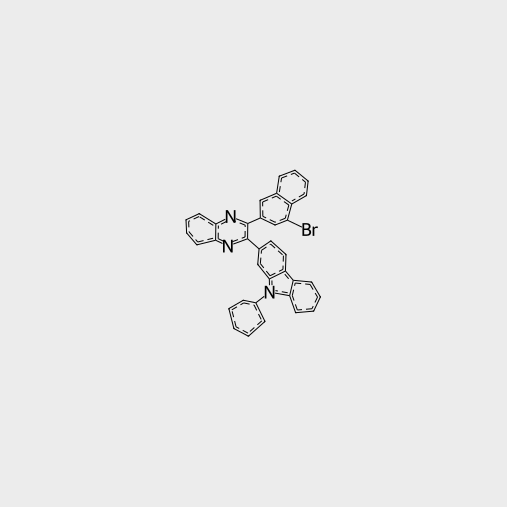 Brc1cc(-c2nc3ccccc3nc2-c2ccc3c4ccccc4n(-c4ccccc4)c3c2)cc2ccccc12